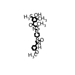 COc1cccc(-c2cn(C3CCN(c4nc(C(=O)c5cc(C)c(O)c(C)c5)c(C)s4)CC3)c(=O)[nH]2)c1